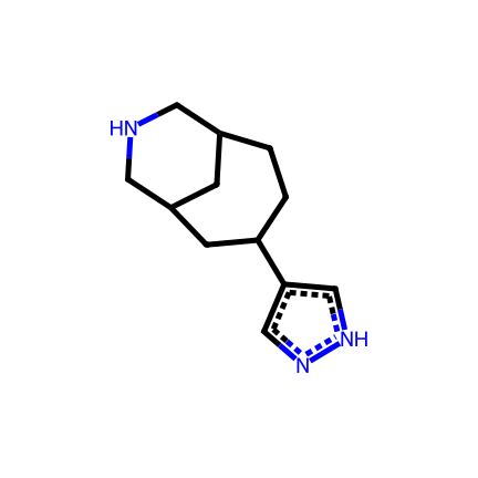 c1n[nH]cc1C1CCC2CNCC(C2)C1